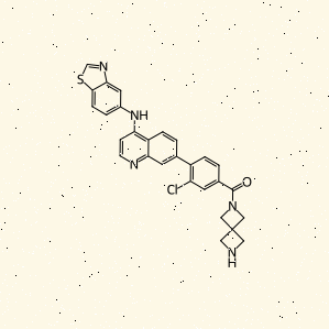 O=C(c1ccc(-c2ccc3c(Nc4ccc5scnc5c4)ccnc3c2)c(Cl)c1)N1CC2(CNC2)C1